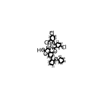 O=C(O)CC(NC(=O)c1cc(Cl)ccc1Nc1ccc(Cl)cc1Cl)c1ccc(-c2ccccc2Oc2ccccc2)cc1